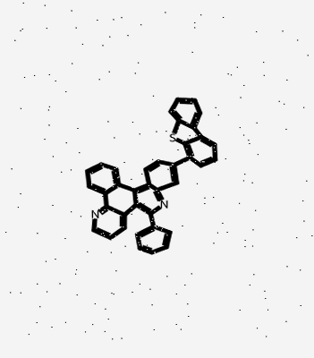 c1ccc(-c2nc3cc(-c4cccc5c4sc4ccccc45)ccc3c3c4ccccc4c4ncccc4c23)cc1